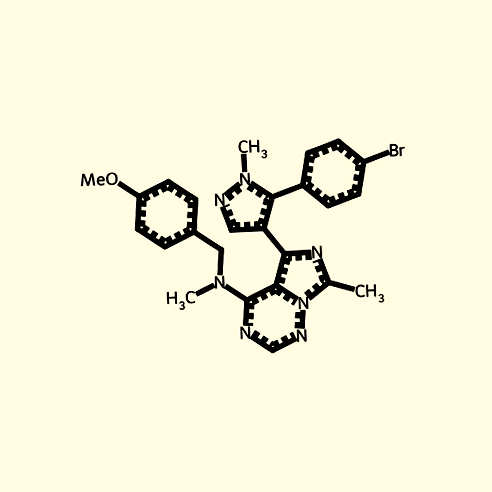 COc1ccc(CN(C)c2ncnn3c(C)nc(-c4cnn(C)c4-c4ccc(Br)cc4)c23)cc1